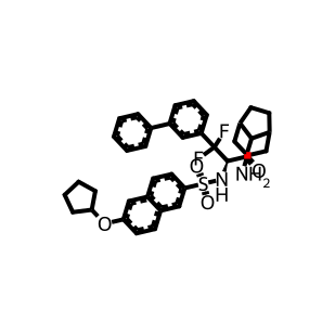 NC1CC2CCC(C1)C2C(=O)[C@@H](NS(=O)(=O)c1ccc2cc(OC3CCCC3)ccc2c1)C(F)(F)c1cccc(-c2ccccc2)c1